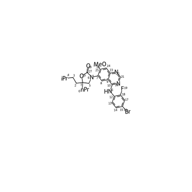 CCCC1(CCC(C)C)CN(c2cc3c(Nc4ccc(Br)cc4F)ncnc3cc2OC)C(=O)O1